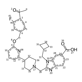 CC(=O)c1ccc(COc2cccc(C3CCN(Cc4nc5ccc(C(=O)O)cc5n4CC4CCC4)CC3)n2)cc1F